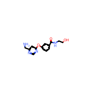 NCc1cc(Oc2cccc(C(=O)NCCO)c2)ncn1